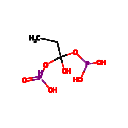 CCC(O)(OP(O)O)O[PH](=O)O